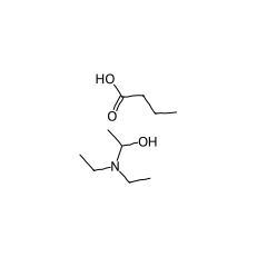 CCCC(=O)O.CCN(CC)C(C)O